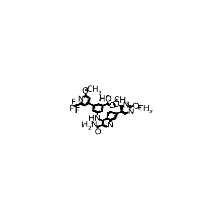 COc1cc(-c2cc(Nc3c(C(N)=O)cnc4cc(-c5cnc(OC)nc5OC)ccc34)cc(C(=O)O)c2)cc(C(F)(F)F)n1